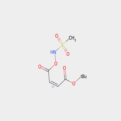 CC(C)(C)OC(=O)/C=C\C(=O)ONS(C)(=O)=O